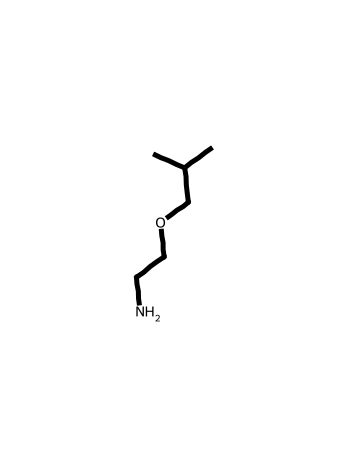 CC(C)COCCN